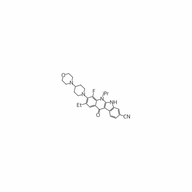 CCc1cc2c(=O)c3c4ccc(C#N)cc4[nH]c3n(C(C)C)c2c(F)c1N1CCC(N2CCOCC2)CC1